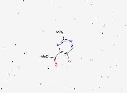 CNc1ncc(Br)c(C(=O)OC)n1